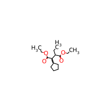 CCOC(=O)C(=C1CCCC1)C(CC)C(=O)OCC